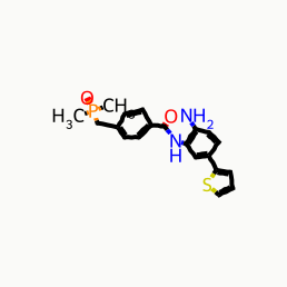 CP(C)(=O)Cc1ccc(C(=O)Nc2cc(-c3cccs3)ccc2N)cc1